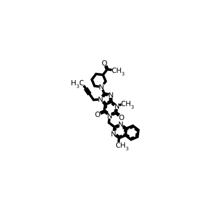 CC#CCn1c(N2CCCC(C(C)=O)C2)nc2c1c(=O)n(Cc1nc(C)c3ccccc3n1)c(=O)n2C